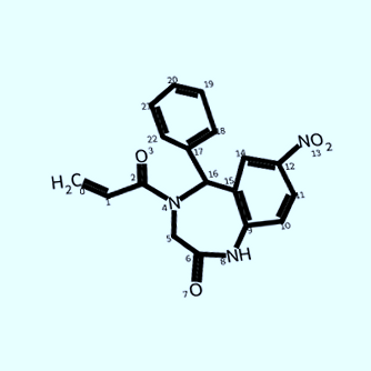 C=CC(=O)N1CC(=O)Nc2ccc([N+](=O)[O-])cc2C1c1ccccc1